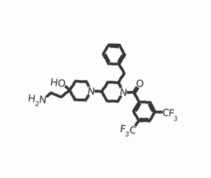 NCCC1(O)CCN(C2CCN(C(=O)c3cc(C(F)(F)F)cc(C(F)(F)F)c3)C(Cc3ccccc3)C2)CC1